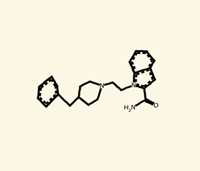 NC(=O)c1cc2ccccc2n1CCN1CCC(Cc2ccccc2)CC1